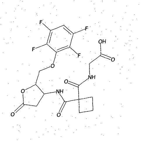 O=C(O)CNC(=O)C1(C(=O)NC2CC(=O)OC2COc2c(F)c(F)cc(F)c2F)CCC1